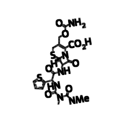 CNC(=O)N(C)C(=O)NC(C(=O)NC1C(=O)N2C(C(=O)O)=C(COC(N)=O)CS[C@@H]12)c1cccs1